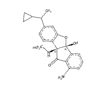 CC(c1ccc2c(c1)O[C@]1(O)c3cccc(N)c3C(=O)[C@]21NC(=O)O)C1CC1